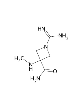 CNC1(C(N)=O)CN(C(=N)N)C1